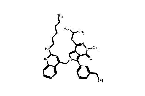 CC(C)Cc1nn(C)c(=O)c2c(-c3cccc(CO)c3)n(CC3=CC(NCCCCCN)Nc4ccccc43)cc12